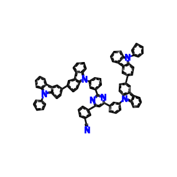 N#Cc1cccc(-c2cc(-c3cccc(-n4c5ccccc5c5cc(-c6ccc7c(c6)c6ccccc6n7-c6ccccc6)ccc54)c3)nc(-c3cccc(-n4c5ccccc5c5cc(-c6ccc7c(c6)c6ccccc6n7-c6ccccc6)ccc54)c3)n2)c1